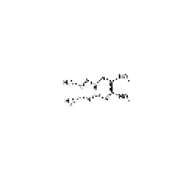 Nc1nc2cc([N+](=O)[O-])c([N+](=O)[O-])cc2nc1N